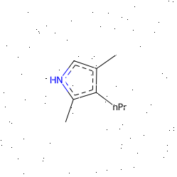 CCCc1c(C)c[nH]c1C